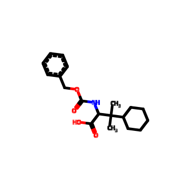 CC(C)(C1CCCCC1)C(NC(=O)OCc1ccccc1)C(=O)O